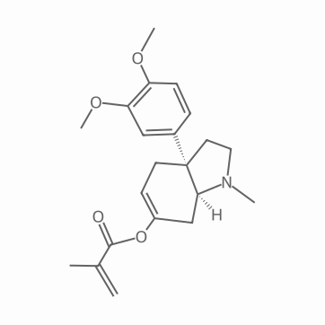 C=C(C)C(=O)OC1=CC[C@@]2(c3ccc(OC)c(OC)c3)CCN(C)[C@H]2C1